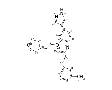 Cc1cccc(COC(=O)Nc2ccc(-c3cn[nH]c3)cc2OCCN2CCOCC2)c1